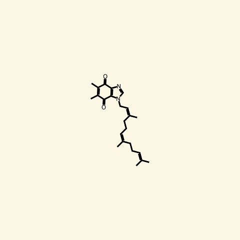 CC(C)=CCCC(C)=CCCC(C)=CCn1cnc2c1C(=O)C(C)=C(C)C2=O